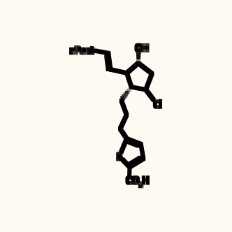 CCCCCC=CC1[C@@H](CCCc2ccc(C(=O)O)s2)C(Cl)C[C@H]1O